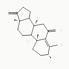 C=C1C[C@@H]2[C@H](CC[C@]3(C)C(=O)CC[C@@H]23)[C@@]2(C)CC[C@H](O)C(O)=C12